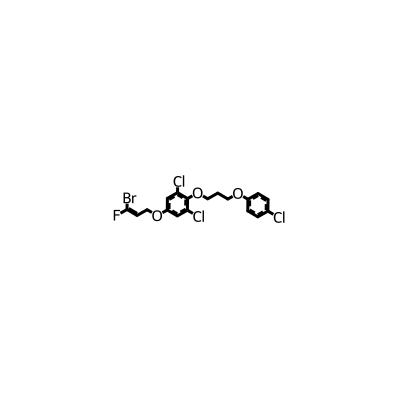 FC(Br)=CCOc1cc(Cl)c(OCCCOc2ccc(Cl)cc2)c(Cl)c1